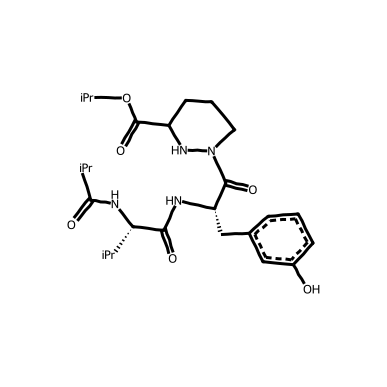 CC(C)OC(=O)C1CCCN(C(=O)[C@H](Cc2cccc(O)c2)NC(=O)[C@@H](NC(=O)C(C)C)C(C)C)N1